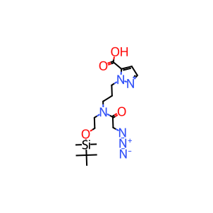 CC(C)(C)[Si](C)(C)OCCN(CCCn1nccc1C(=O)O)C(=O)CN=[N+]=[N-]